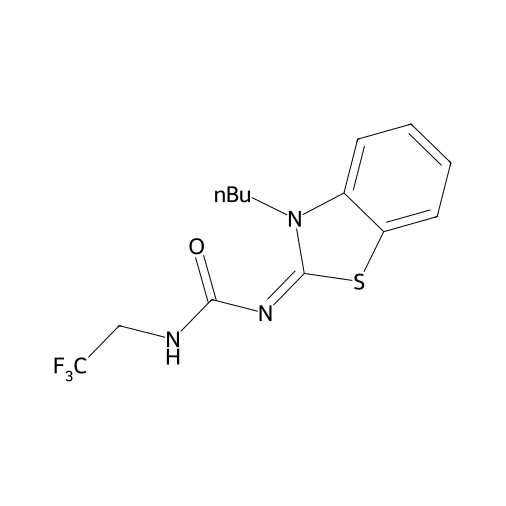 CCCCn1c(=NC(=O)NCC(F)(F)F)sc2ccccc21